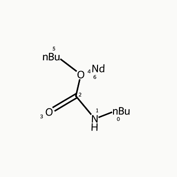 CCCCNC(=O)OCCCC.[Nd]